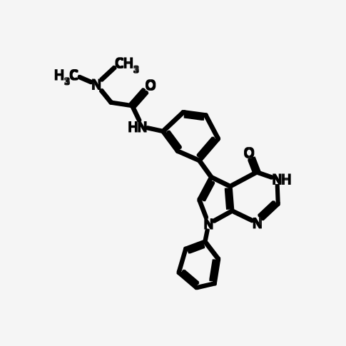 CN(C)CC(=O)Nc1cccc(-c2cn(-c3ccccc3)c3nc[nH]c(=O)c23)c1